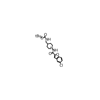 CC(C)(C)OC(=O)NCC1CCN(NC(=O)c2cc3cc(Cl)ccc3o2)CC1